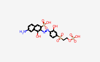 Nc1ccc2cc(S(=O)(=O)O)c(/N=N/c3ccc(S(=O)(=O)CCOS(=O)(=O)O)cc3O)c(O)c2c1